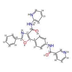 O=C(Nc1ccc(-c2oc(-c3ccccc3)nc2C(=O)Nc2ccccn2)cc1)c1cccnc1